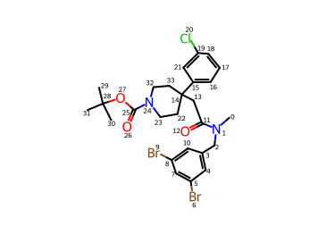 CN(Cc1cc(Br)cc(Br)c1)C(=O)CC1(c2cccc(Cl)c2)CCN(C(=O)OC(C)(C)C)CC1